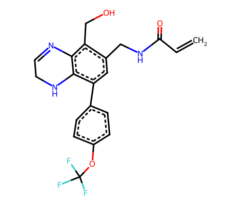 C=CC(=O)NCc1cc(-c2ccc(OC(F)(F)F)cc2)c2c(c1CO)N=CCN2